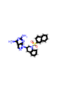 Nc1nc(N)c2cnn(C3Cc4ccccc4N(S(=O)(=O)c4ccc5ccccc5c4)C3)c2n1